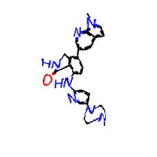 CN1CCN(c2ccc(Nc3ccc(-c4cnc5c(ccn5C)c4)c4c3C(=O)NC4)nc2)CC1